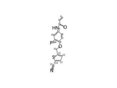 C=CC(=O)Nc1ccc(OCc2ccc(C#N)s2)c(F)c1